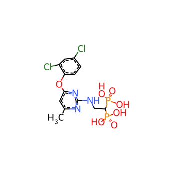 Cc1cc(Oc2ccc(Cl)cc2Cl)nc(NCC(P(=O)(O)O)P(=O)(O)O)n1